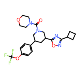 O=C(N1CCOCC1)N1CC(c2ccc(OC(F)(F)F)cc2)CC(c2nc(C3CCC3)no2)C1